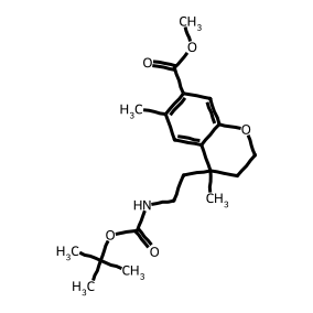 COC(=O)c1cc2c(cc1C)C(C)(CCNC(=O)OC(C)(C)C)CCO2